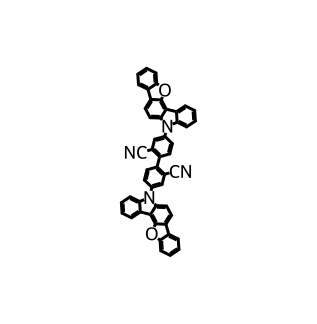 N#Cc1cc(-n2c3ccccc3c3c4oc5ccccc5c4ccc32)ccc1-c1ccc(-n2c3ccccc3c3c4oc5ccccc5c4ccc32)cc1C#N